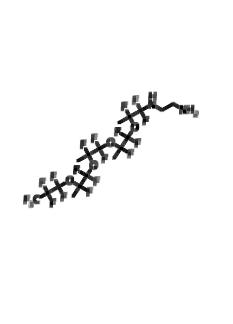 CC(F)(OC(F)(F)C(C)(F)OC(F)(F)C(C)(F)OC(F)(F)C(C)(F)OC(F)(F)C(F)(F)C(F)(F)F)C(F)(F)NCCN